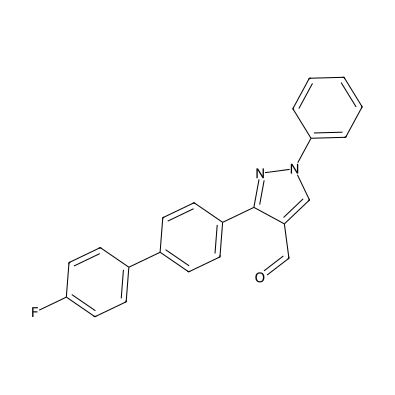 O=Cc1cn(-c2ccccc2)nc1-c1ccc(-c2ccc(F)cc2)cc1